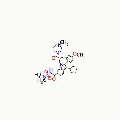 COc1ccc2c(c1)C=C(C(=O)N1CCCN(C)CC1)Cn1c-2c(C2CCCCC2)c2ccc(C(=O)NS(=O)(=O)N(C)C)cc21